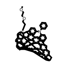 COCCOCCN1CC2C3=c4c5c6c7c(cc8cc9cc%10cc%11cc%12c%13c(c4c4c5c5c7c8c7c9c%10c8c%11c%13c4c8c75)=C(C3)C%12)CC62C1c1ccc(N(c2ccccc2)c2ccccc2)cc1